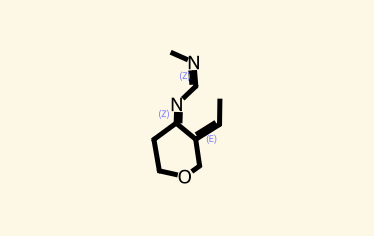 C/C=C1/COCC/C1=N/C=N\C